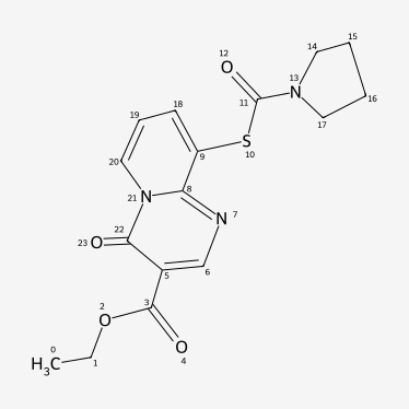 CCOC(=O)c1cnc2c(SC(=O)N3CCCC3)cccn2c1=O